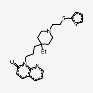 CCC1(CCCn2c(=O)ccc3cccnc32)CCN(CCSc2cccs2)CC1